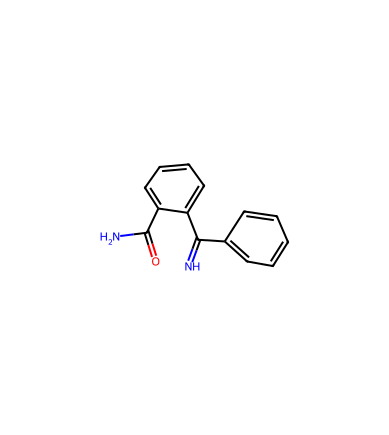 N=C(c1ccccc1)c1ccccc1C(N)=O